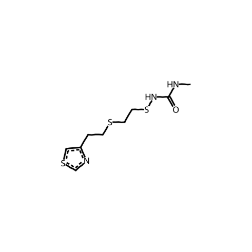 CNC(=O)NSCCSCCc1cscn1